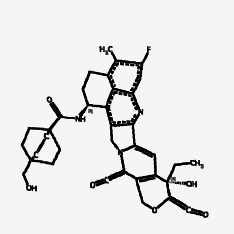 CC[C@@]1(O)C(=C=O)OCC2=C1C=C1c3nc4cc(F)c(C)c5c4c(c3CN1C2=C=O)[C@@H](NC(=O)C12CCC(CO)(CC1)CC2)CC5